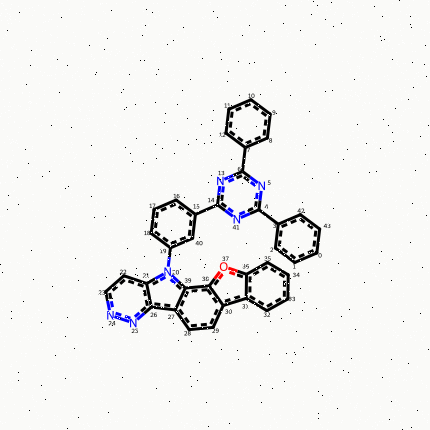 c1ccc(-c2nc(-c3ccccc3)nc(-c3cccc(-n4c5ccnnc5c5ccc6c7ccccc7oc6c54)c3)n2)cc1